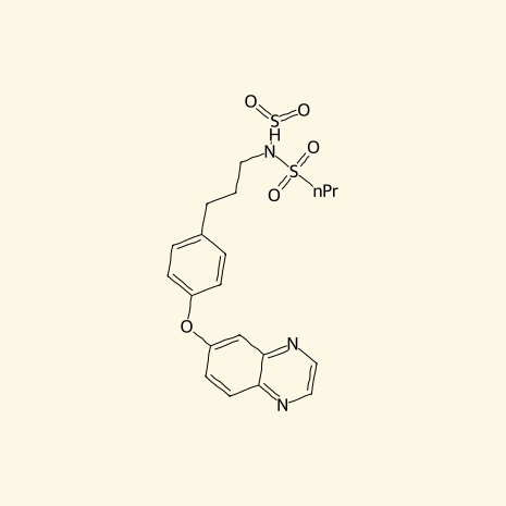 CCCS(=O)(=O)N(CCCc1ccc(Oc2ccc3nccnc3c2)cc1)[SH](=O)=O